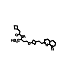 O=C(CC1CCC1)N[C@@H](CCOC1CC(CCc2ccc3c(n2)NCCC3)C1)C(=O)O